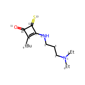 CCN(CC)CCCNc1c(C(C)(C)C)c(=O)c1=S